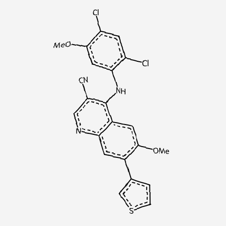 COc1cc(Nc2c(C#N)cnc3cc(-c4ccsc4)c(OC)cc23)c(Cl)cc1Cl